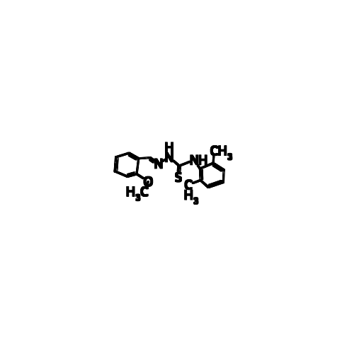 COc1ccccc1/C=N/NC(=S)Nc1c(C)cccc1C